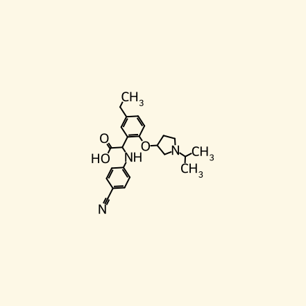 CCc1ccc(OC2CCN(C(C)C)C2)c(C(Nc2ccc(C#N)cc2)C(=O)O)c1